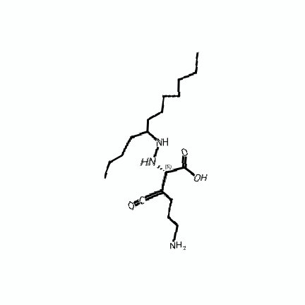 CCCCCCCC(CCCC)NN[C@H](C(=O)O)C(=C=O)CCCN